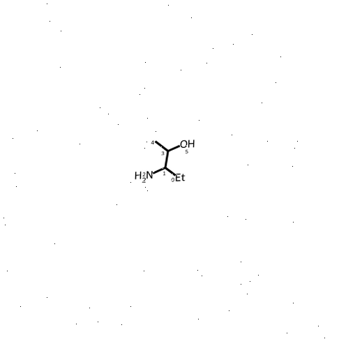 CCC(N)C(C)O